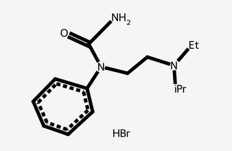 Br.CCN(CCN(C(N)=O)c1ccccc1)C(C)C